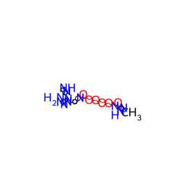 Cc1ncc(C(=O)NCCOCCOCCOCCOCCC(=O)N2CCc3cc(Cn4nc(-c5cnc6[nH]ccc6c5)c5c(N)ncnc54)ccc3C2)cn1